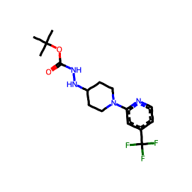 CC(C)(C)OC(=O)NNC1CCN(c2cc(C(F)(F)F)ccn2)CC1